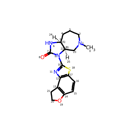 CN1CCC[C@@H]2NC(=O)N(c3nc4c5c(ccc4s3)OCC5)[C@@H]2C1